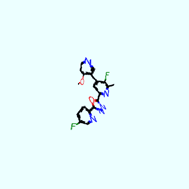 COc1ccncc1-c1cc(-c2nnc(-c3ccc(F)cn3)o2)nc(C)c1F